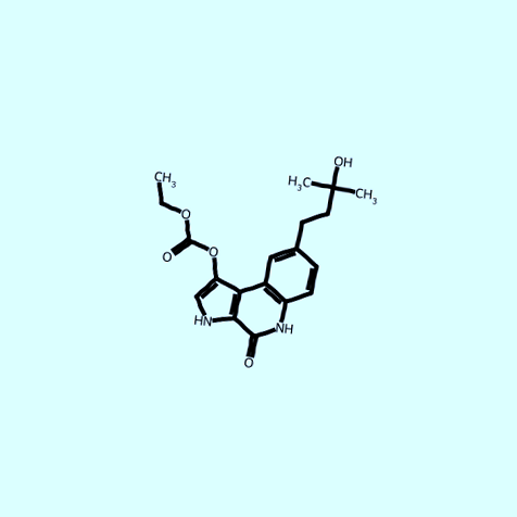 CCOC(=O)Oc1c[nH]c2c(=O)[nH]c3ccc(CCC(C)(C)O)cc3c12